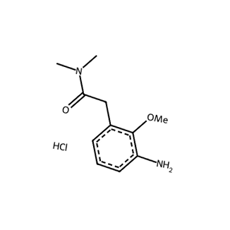 COc1c(N)cccc1CC(=O)N(C)C.Cl